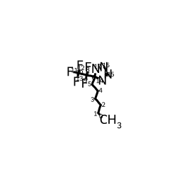 CCCCCCC1(C(F)(F)C(F)(F)F)N=NN=N1